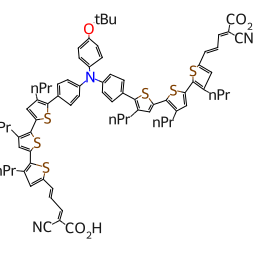 CCCc1cc(-c2sc(-c3sc(/C=C/C=C(\C#N)C(=O)O)cc3CCC)cc2CCC)sc1-c1ccc(N(c2ccc(OC(C)(C)C)cc2)c2ccc(-c3sc(-c4sc(-c5sc(/C=C/C=C(\C#N)C(=O)O)cc5CCC)cc4CCC)cc3CCC)cc2)cc1